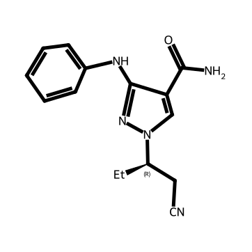 CC[C@H](CC#N)n1cc(C(N)=O)c(Nc2ccccc2)n1